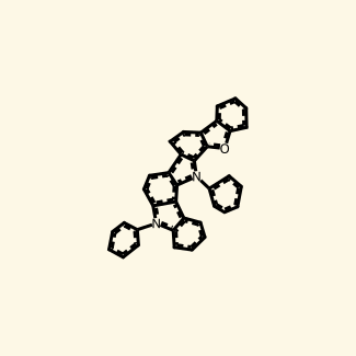 c1ccc(-n2c3ccccc3c3c2ccc2c4ccc5c6ccccc6oc5c4n(-c4ccccc4)c23)cc1